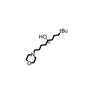 CC(C)(C)CCC[C@@H](O)CCCCN1CCOCC1